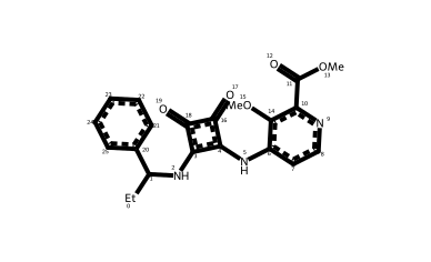 CCC(Nc1c(Nc2ccnc(C(=O)OC)c2OC)c(=O)c1=O)c1ccccc1